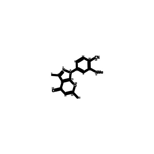 CNc1cc(-n2nc(C)c3c(=O)cc(C)oc32)ccc1C#N